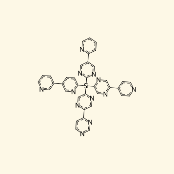 c1ccc(-c2cnc([Si](c3ccc(-c4cccnc4)cn3)(c3cnc(-c4ccncc4)cn3)c3cnc(-c4ccncn4)cn3)nc2)nc1